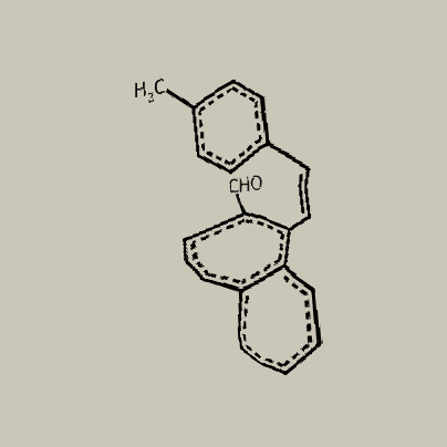 Cc1ccc(/C=C\c2c(C=O)ccc3ccccc23)cc1